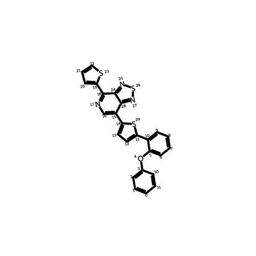 c1ccc(Oc2ccccc2-c2ccc(-c3cnc(-c4cccs4)c4nsnc34)s2)cc1